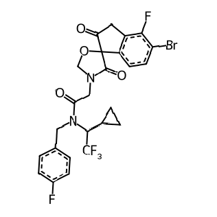 O=C(CN1COC2(C(=O)Cc3c2ccc(Br)c3F)C1=O)N(Cc1ccc(F)cc1)C(C1CC1)C(F)(F)F